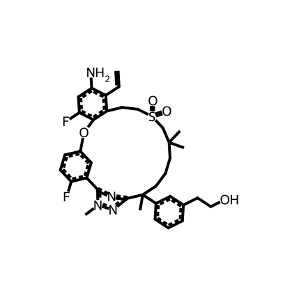 C=Cc1c(N)cc(F)c2c1CCS(=O)(=O)CC(C)(C)CCCC(C)(c1cccc(CCO)c1)c1nc(n(C)n1)-c1cc(ccc1F)O2